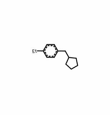 CCc1ccc(CC2CCCC2)cc1